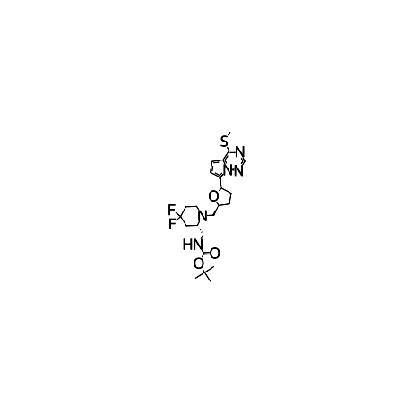 CSc1ncnn2c([C@H]3CC[C@@H](CN4CCC(F)(F)C[C@H]4CNC(=O)OC(C)(C)C)O3)ccc12